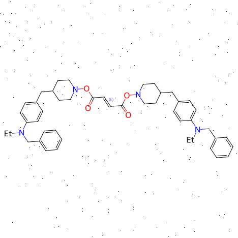 CCN(Cc1ccccc1)c1ccc(CC2CCN(OC(=O)/C=C/C(=O)ON3CCC(Cc4ccc(N(CC)Cc5ccccc5)cc4)CC3)CC2)cc1